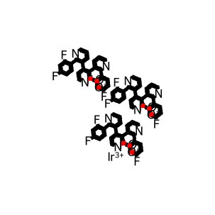 O=C([O-])c1nccc(-c2cccnc2-c2ccc(F)cc2F)c1-c1cccnc1-c1ccc(F)cc1F.O=C([O-])c1nccc(-c2cccnc2-c2ccc(F)cc2F)c1-c1cccnc1-c1ccc(F)cc1F.O=C([O-])c1nccc(-c2cccnc2-c2ccc(F)cc2F)c1-c1cccnc1-c1ccc(F)cc1F.[Ir+3]